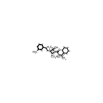 Cc1cccc(CC[C@@H]2[C@@H](C(=O)O)N(C(=O)N[C@@H](C3CCCCC3)C(F)(F)F)[C@]2(C)O)c1